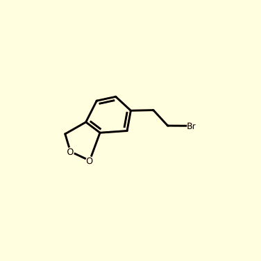 BrCCc1ccc2c(c1)OOC2